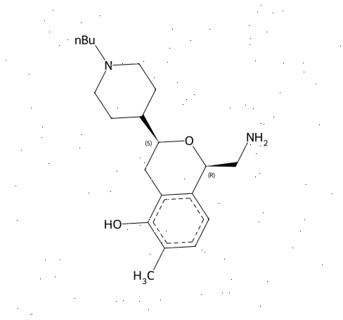 CCCCN1CCC([C@@H]2Cc3c(ccc(C)c3O)[C@H](CN)O2)CC1